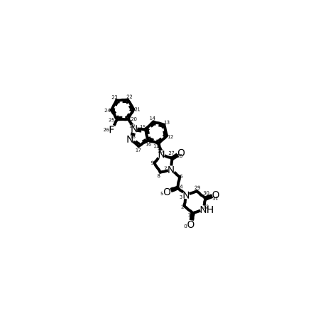 O=C1CN(C(=O)CN2CCN(c3cccc4c3cnn4-c3ccccc3F)C2=O)CC(=O)N1